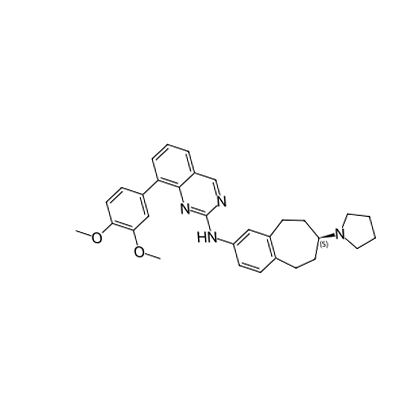 COc1ccc(-c2cccc3cnc(Nc4ccc5c(c4)CC[C@@H](N4CCCC4)CC5)nc23)cc1OC